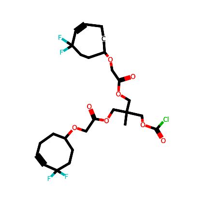 CC(COC(=O)Cl)(COC(=O)COC1CCC#CC(F)(F)CC1)COC(=O)COC1CCC#CC(F)(F)CC1